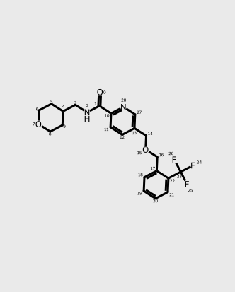 O=C(NCC1CCOCC1)c1ccc(COCc2ccccc2C(F)(F)F)cn1